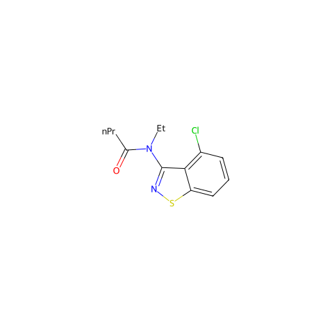 CCCC(=O)N(CC)c1nsc2cccc(Cl)c12